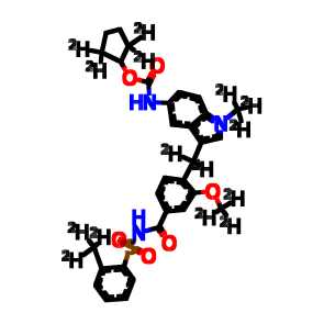 [2H]C([2H])([2H])Oc1cc(C(=O)NS(=O)(=O)c2ccccc2C([2H])([2H])[2H])ccc1C([2H])([2H])c1cn(C([2H])([2H])[2H])c2ccc(NC(=O)OC3C([2H])([2H])CCC3([2H])[2H])cc12